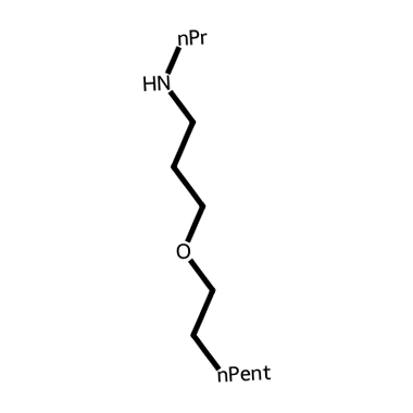 CCCCCCCOCCCNCCC